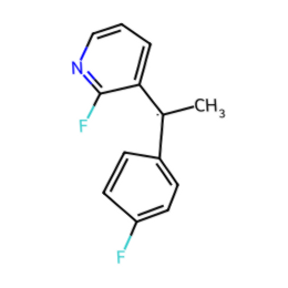 C[C](c1ccc(F)cc1)c1cccnc1F